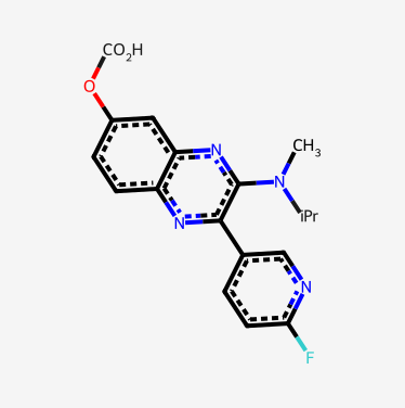 CC(C)N(C)c1nc2cc(OC(=O)O)ccc2nc1-c1ccc(F)nc1